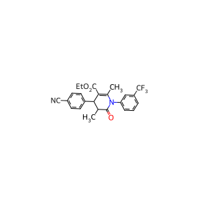 CCOC(=O)C1=C(C)N(c2cccc(C(F)(F)F)c2)C(=O)C(C)C1c1ccc(C#N)cc1